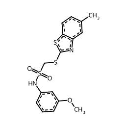 COc1cccc(NS(=O)(=O)CSc2nc3cc(C)ccc3s2)c1